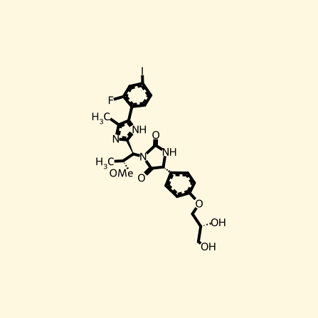 CO[C@H](C)[C@@H](c1nc(C)c(-c2ccc(I)cc2F)[nH]1)N1C(=O)N[C@H](c2ccc(OC[C@H](O)CO)cc2)C1=O